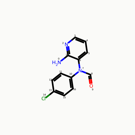 Nc1ncccc1N(C=O)c1ccc(Cl)cc1